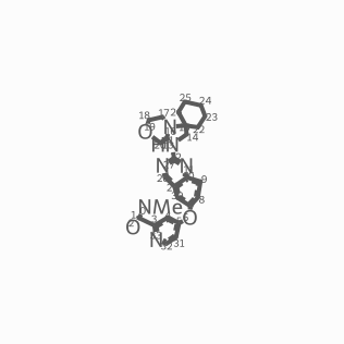 CNC(=O)c1cc(Oc2ccc3nc(NCC4(N5CCOCC5)CCCCC4)ncc3c2)ccn1